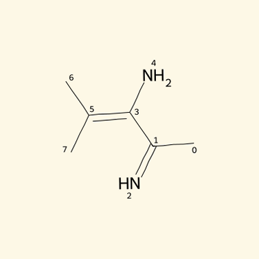 CC(=N)C(N)=C(C)C